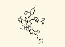 COC(=O)N[C@]1(COC(=O)NCCC(=O)O)CC2=C(c3ccn(C(F)F)n3)[C@H](c3ccc(F)cc3Cl)N=C(c3nccs3)N2C1